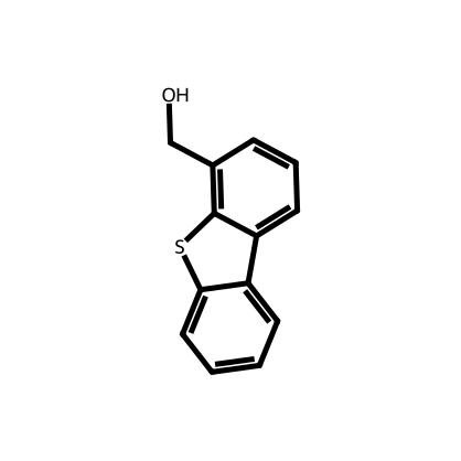 OCc1cccc2c1sc1ccccc12